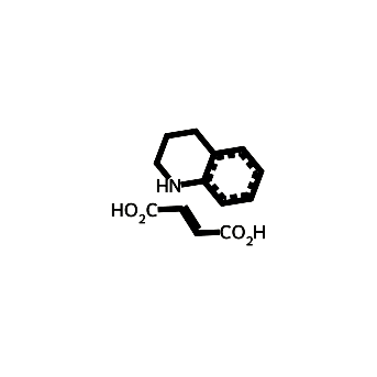 O=C(O)/C=C/C(=O)O.c1ccc2c(c1)CCCN2